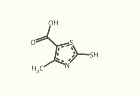 Cc1nc(S)sc1C(=O)O